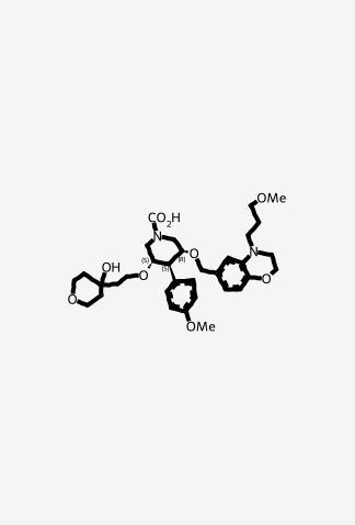 COCCCN1CCOc2ccc(CO[C@H]3CN(C(=O)O)C[C@@H](OCCC4(O)CCOCC4)[C@@H]3c3ccc(OC)cc3)cc21